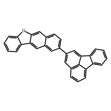 c1ccc2c(c1)-c1cccc3cc(-c4ccc5cc6oc7ccccc7c6cc5c4)cc-2c13